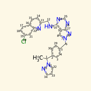 CC(c1ccc(Cn2cc3c(NCc4ccc5ccc(Cl)cc5n4)ncnc3n2)cc1)n1cccn1